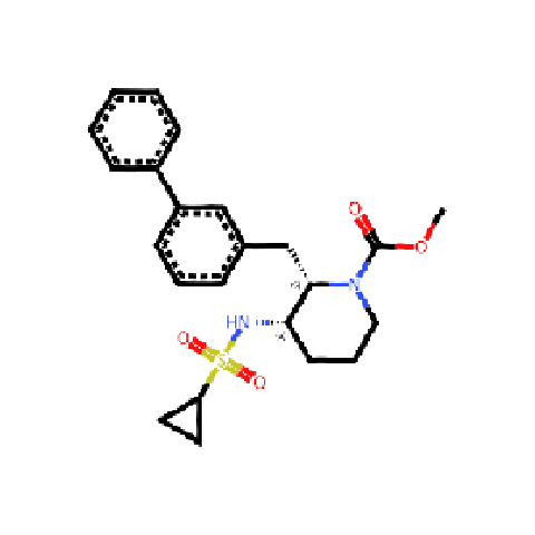 COC(=O)N1CCC[C@H](NS(=O)(=O)C2CC2)[C@@H]1Cc1cccc(-c2ccccc2)c1